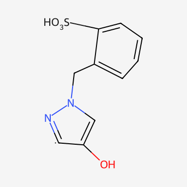 O=S(=O)(O)c1ccccc1Cn1cc(O)[c]n1